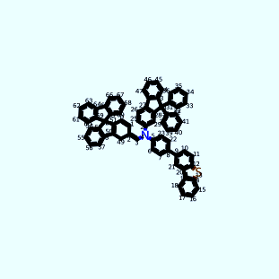 C1=C/C(=C\N(c2ccc(-c3ccc4sc5ccccc5c4c3)cc2)c2ccc3c(c2)C(c2ccccc2)(c2ccccc2)c2ccccc2-3)CC2=C1C1(c3ccccc32)c2ccccc2-c2ccccc21